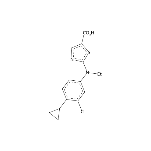 CCN(c1ccc(C2CC2)c(Cl)c1)c1ncc(C(=O)O)s1